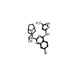 Cc1cc(Nc2nc(NC3CC4CCC(C3)N4CCC#N)nc3cc(Br)ccc23)n[nH]1